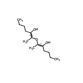 CCCC/C(O)=C(\C)O/C(C)=C(\O)CCCC